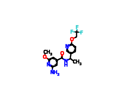 COc1cc(C(=O)NC(C)c2ccc(OCC(F)(F)F)nc2)cc(N)n1